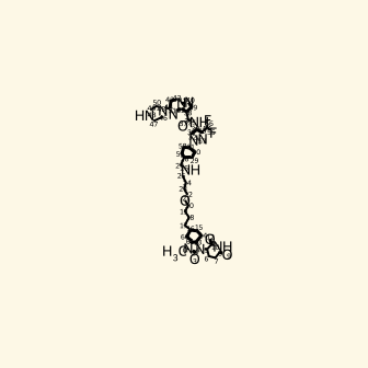 Cn1c(=O)n(C2CCC(=O)NC2=O)c2ccc(CCCCOCCCCNCc3ccc(-n4cc(NC(=O)c5cnn6ccc(N7CCNCC7)nc56)c(C(F)F)n4)cc3)cc21